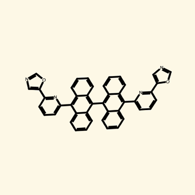 c1cc(-c2cnco2)nc(-c2c3ccccc3c(-c3c4ccccc4c(-c4cccc(-c5cnco5)n4)c4ccccc34)c3ccccc23)c1